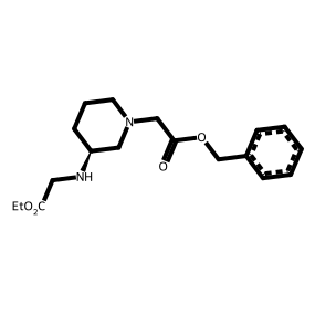 CCOC(=O)CN[C@H]1CCCN(CC(=O)OCc2ccccc2)C1